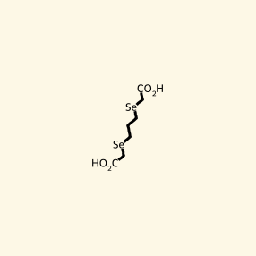 O=C(O)C[Se]CCC[Se]CC(=O)O